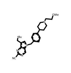 COCCN1CCC(c2ccc(Cn3cc(CC(C)(C)C)c4nc(C#N)ncc43)cc2)CC1